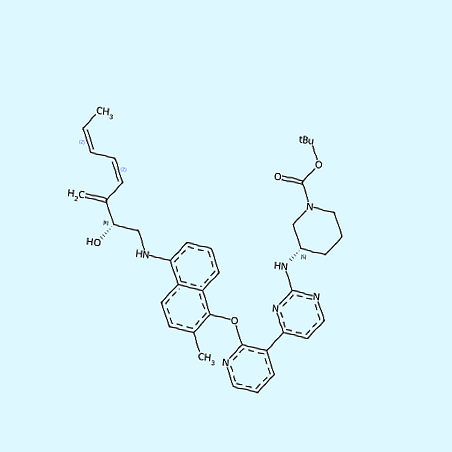 C=C(/C=C\C=C/C)[C@@H](O)CNc1cccc2c(Oc3ncccc3-c3ccnc(N[C@H]4CCCN(C(=O)OC(C)(C)C)C4)n3)c(C)ccc12